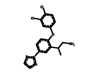 CC(CN)c1cc(-n2nccn2)ccc1Oc1ccc(Cl)c(Cl)c1